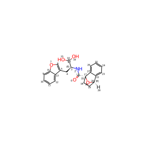 O=C(N[C@@H](Cc1coc2ccccc12)B(O)O)[C@@]12CC[C@@H](O1)c1ccccc12